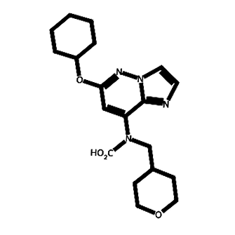 O=C(O)N(CC1CCOCC1)c1cc(OC2CCCCC2)nn2ccnc12